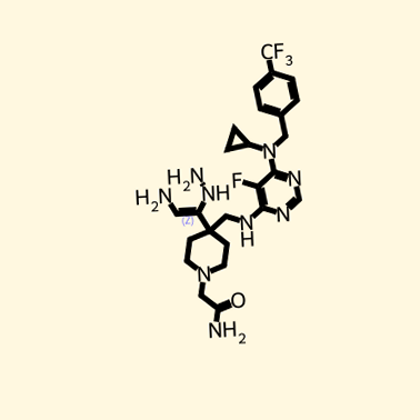 N/C=C(\NN)C1(CNc2ncnc(N(Cc3ccc(C(F)(F)F)cc3)C3CC3)c2F)CCN(CC(N)=O)CC1